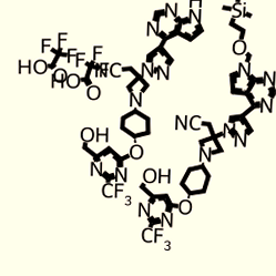 C[Si](C)(C)CCOCn1ccc2c(-c3cnn(C4(CC#N)CN([C@H]5CC[C@@H](Oc6cc(CO)nc(C(F)(F)F)n6)CC5)C4)c3)ncnc21.N#CCC1(n2cc(-c3ncnc4[nH]ccc34)cn2)CN([C@H]2CC[C@@H](Oc3cc(CO)nc(C(F)(F)F)n3)CC2)C1.O=C(O)C(F)(F)F.O=C(O)C(F)(F)F